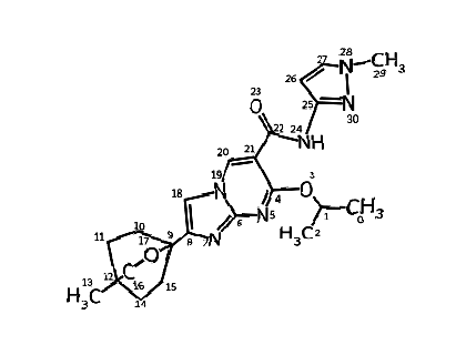 CC(C)Oc1nc2nc(C34CCC(C)(CC3)CO4)cn2cc1C(=O)Nc1ccn(C)n1